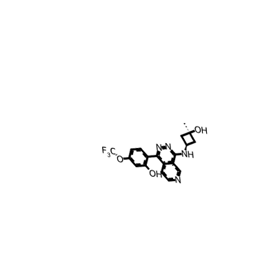 C[C@]1(O)C[C@@H](Nc2nnc(-c3ccc(OC(F)(F)F)cc3O)c3ccncc23)C1